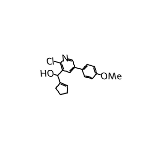 COc1ccc(-c2cnc(Cl)c(C(O)C3=CCCC3)c2)cc1